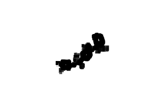 O=C(NCc1ccc(F)c(F)c1)c1ccc2c(c1)ncn2-c1n[nH]c2ccccc12